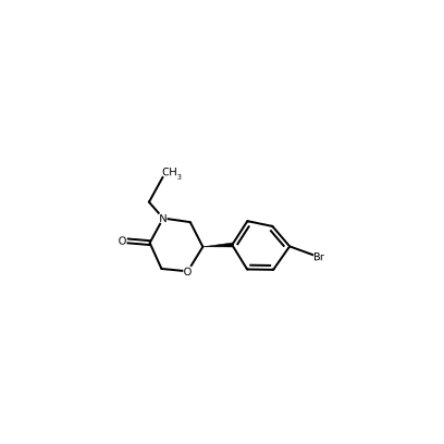 CCN1C[C@@H](c2ccc(Br)cc2)OCC1=O